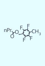 CCCC(=O)OCc1c(F)c(F)c(C)c(F)c1F